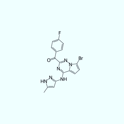 Cc1cc(Nc2nc(C(=O)c3ccc(F)cc3)nn3c(Br)ccc23)n[nH]1